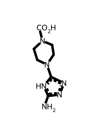 Nc1nnc(N2CCN(C(=O)O)CC2)[nH]1